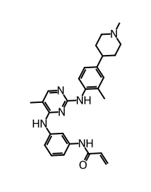 C=CC(=O)Nc1cccc(Nc2nc(Nc3ccc(C4CCN(C)CC4)cc3C)ncc2C)c1